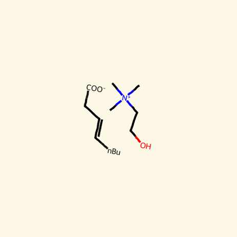 CCCCC=CCC(=O)[O-].C[N+](C)(C)CCO